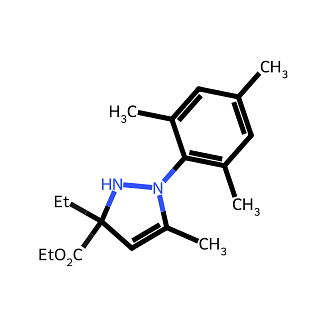 CCOC(=O)C1(CC)C=C(C)N(c2c(C)cc(C)cc2C)N1